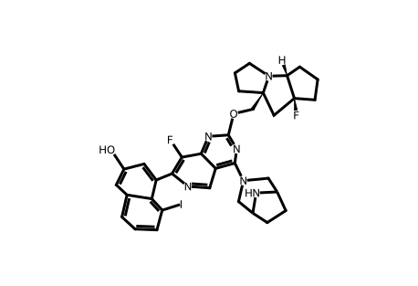 Oc1cc(-c2ncc3c(N4CC5CCC(C4)N5)nc(OC[C@@]45CCCN4[C@@H]4CCC[C@]4(F)C5)nc3c2F)c2c(I)cccc2c1